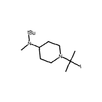 CN(C1CCN(C(C)(C)I)CC1)C(C)(C)C